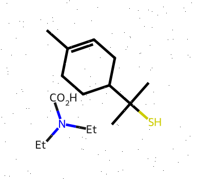 CC1=CCC(C(C)(C)S)CC1.CCN(CC)C(=O)O